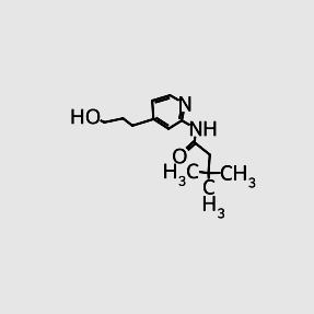 CC(C)(C)CC(=O)Nc1cc(CCCO)ccn1